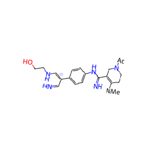 CNC1=C(C(=N)Nc2ccc(/C(C=N)=C/NCCO)cc2)CN(C(C)=O)CC1